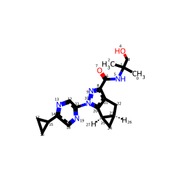 CC(C)(CO)NC(=O)c1nn(-c2cnc(C3CC3)cn2)c2c1C[C@H]1C[C@@H]21